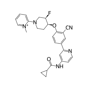 C[n+]1ccccc1N1CC[C@H](Oc2ccc(-c3cc(NC(=O)C4CC4)ccn3)cc2C#N)[C@H](F)C1